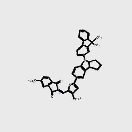 CCCCCCc1cc(-c2ccc3c(c2)C2CCCC2N3c2ccc3c(c2)C(C)(C)c2ccccc2-3)sc1/C=C1\C(=O)c2ccc(C(=O)O)cc2C1=O